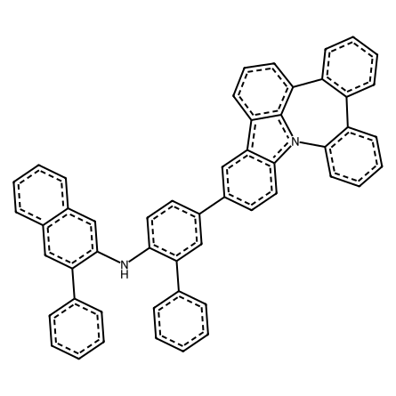 c1ccc(-c2cc(-c3ccc4c(c3)c3cccc5c3n4-c3ccccc3-c3ccccc3-5)ccc2Nc2cc3ccccc3cc2-c2ccccc2)cc1